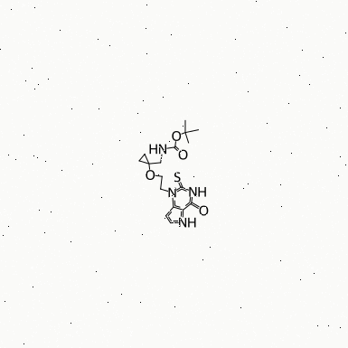 CC(C)(C)OC(=O)NCC1(OCCn2c(=S)[nH]c(=O)c3[nH]ccc32)CC1